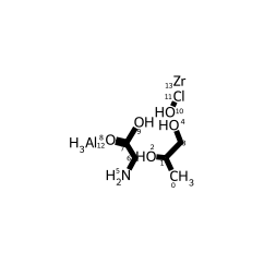 CC(O)CO.NCC(=O)O.OCl.[AlH3].[Zr]